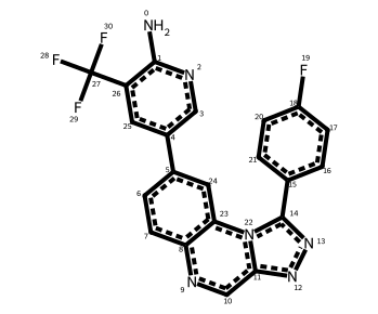 Nc1ncc(-c2ccc3ncc4nnc(-c5ccc(F)cc5)n4c3c2)cc1C(F)(F)F